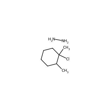 CC1CCCCC1(C)Cl.NN